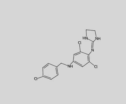 Clc1ccc(CNc2cc(Cl)c(N=C3NCCN3)c(Cl)c2)cc1